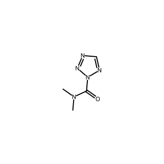 CN(C)C(=O)n1ncnn1